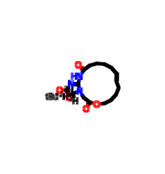 [2H]C([2H])([2H])N1CC(=O)OCCCC/C=C/CCCCC(=O)N/C1=N/C(=O)OC(C)(C)C